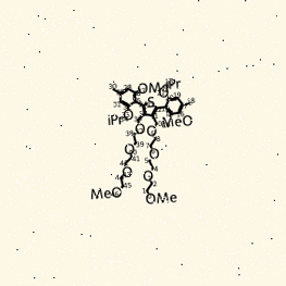 COCCOCCOCCOCc1c(-c2c(OC)cc(C)cc2OC(C)C)sc(-c2c(OC)cc(C)cc2OC(C)C)c1COCCOCCOCCOC